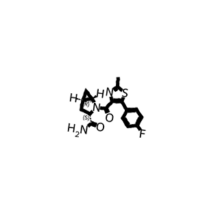 Cc1nc(C(=O)N2[C@H](C(N)=O)C[C@H]3C[C@@H]32)c(-c2ccc(F)cc2)s1